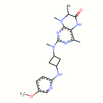 Cc1nc(N(C)C2CC(Nc3ccc(OC(F)(F)F)cn3)C2)nc2c1NC(=O)C(C(C)C)N2C